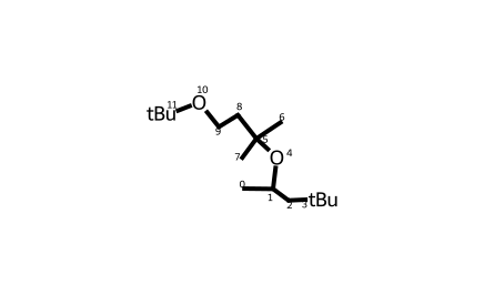 CC(CC(C)(C)C)OC(C)(C)CCOC(C)(C)C